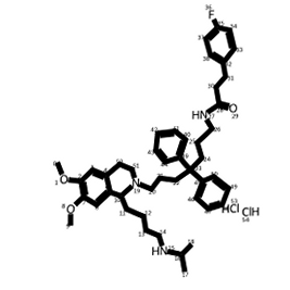 COc1cc2c(cc1OC)C(CCCCNC(C)C)N(CCCC(CCCNC(=O)CCc1ccc(F)cc1)(c1ccccc1)c1ccccc1)CC2.Cl.Cl